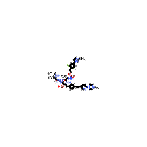 CC(=O)N1CCN(c2ccc(C#Cc3ccc(CC(NC(=O)C(NC(=O)OCCc4c(F)cc(-c5ccn(C)n5)cc4F)C(C)(C)C)C(O)CNNC(=O)C(NC(=O)O)C(C)(C)C)cc3)cn2)CC1